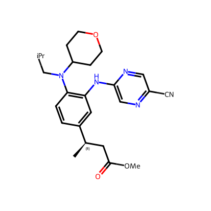 COC(=O)C[C@@H](C)c1ccc(N(CC(C)C)C2CCOCC2)c(Nc2cnc(C#N)cn2)c1